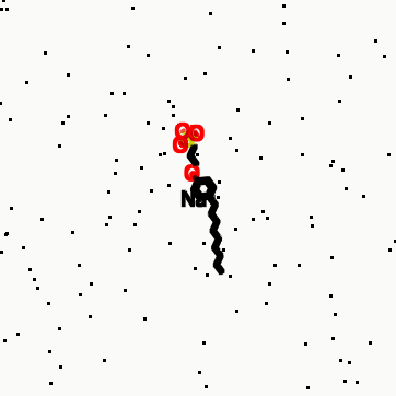 CCCCCCCCCc1ccc(OCCCS(=O)(=O)[O-])cc1.[Na+]